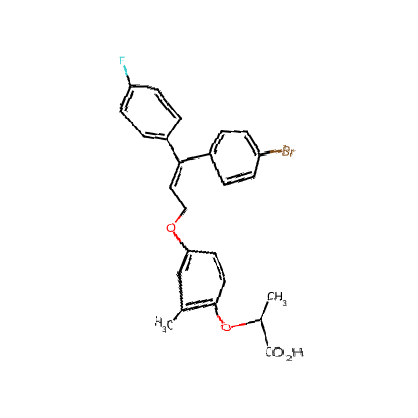 Cc1cc(OC/C=C(/c2ccc(F)cc2)c2ccc(Br)cc2)ccc1OC(C)C(=O)O